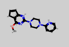 CC(C)Oc1nc(N2CCN(c3ccccn3)CC2)nc2c1CC=C2